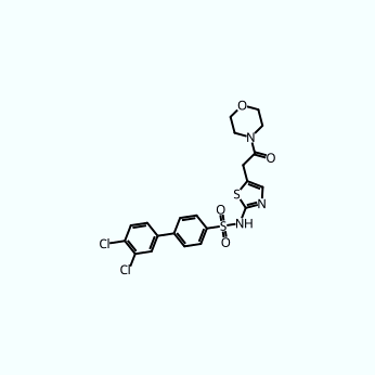 O=C(Cc1cnc(NS(=O)(=O)c2ccc(-c3ccc(Cl)c(Cl)c3)cc2)s1)N1CCOCC1